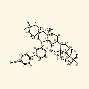 CC1(C)COC2(CCC3=C4C(CC[C@@]3(O)C2)C2CC[C@@](O)(C(F)(F)C(C)(F)F)C2(C)C[C@@H]4c2ccc(-c3ccc(S)cc3)cc2)OC1